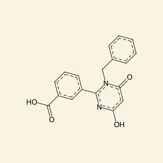 O=C(O)c1cccc(-c2nc(O)cc(=O)n2Cc2ccccc2)c1